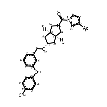 CC(=O)c1ccn(C(=O)N2C[C@H]3C[C@H](OCc4cccc(Oc5ccc(Cl)cc5)c4)C[C@H]3C2)n1